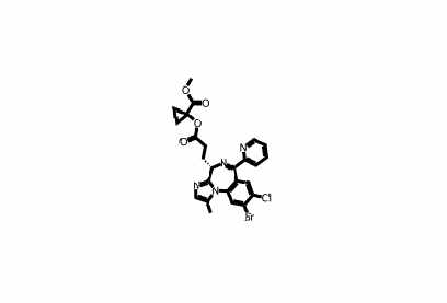 COC(=O)C1(OC(=O)CC[C@@H]2N=C(c3ccccn3)c3cc(Cl)c(Br)cc3-n3c(C)cnc32)CC1